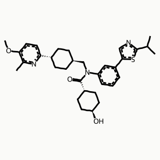 COc1ccc([C@H]2CC[C@H](CN(c3cccc(-c4cnc(C(C)C)s4)c3)C(=O)[C@H]3CC[C@H](O)CC3)CC2)nc1C